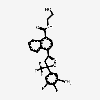 Cc1cc(C2(C(F)(F)F)CC(c3ccc(C(=O)NCCO)c4ccccc34)=NO2)cc(F)c1F